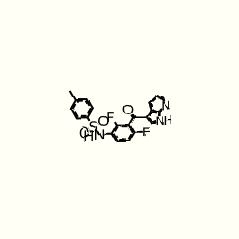 Cc1ccc(S(=O)(=O)Nc2ccc(F)c(C(=O)c3c[nH]c4ncccc34)c2F)cc1